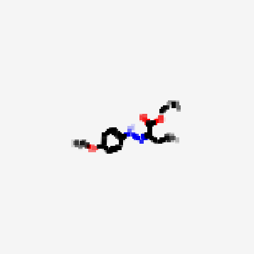 CCOC(=O)C(CC)=NNc1ccc(OC)cc1